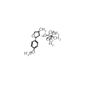 C=C1CO[C@H](c2ccc(OC)cc2)[C@H]1CO[Si](C)(C)C(C)(C)C